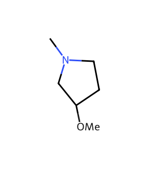 [CH2]OC1CCN(C)C1